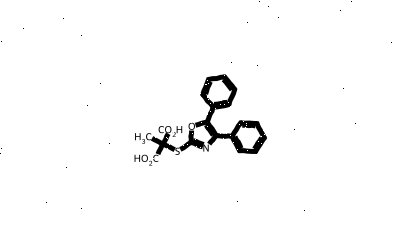 CC(Sc1nc(-c2ccccc2)c(-c2ccccc2)o1)(C(=O)O)C(=O)O